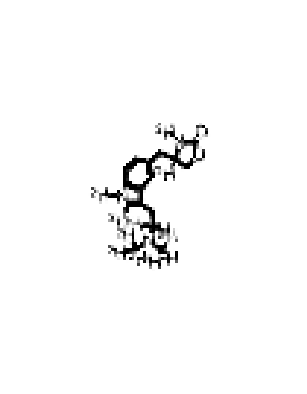 [2H]c1c(CC([2H])([2H])N(C([2H])([2H])[2H])C([2H])([2H])[2H])c2cc(C[C@@]3([2H])COC(=O)N3[2H])ccc2n1[2H]